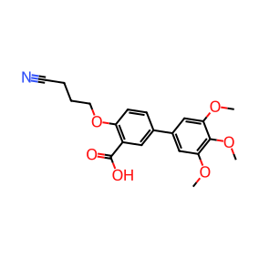 COc1cc(-c2ccc(OCCCC#N)c(C(=O)O)c2)cc(OC)c1OC